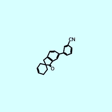 N#Cc1cccc(-c2ccc3c(c2)C(=O)C2(CC=CCC2)C3)c1